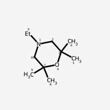 CCN1CC(C)(C)OC(C)(C)C1